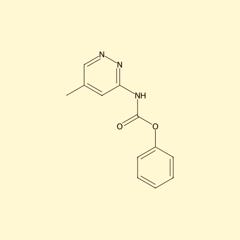 Cc1cnnc(NC(=O)Oc2ccccc2)c1